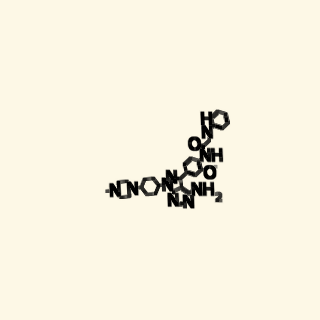 COc1cc(-c2nn(C3CCC(N4CCN(C)CC4)CC3)c3ncnc(N)c23)ccc1NC(=O)CNc1ccccc1